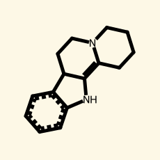 c1ccc2c(c1)NC1=C3CCCCN3CCC12